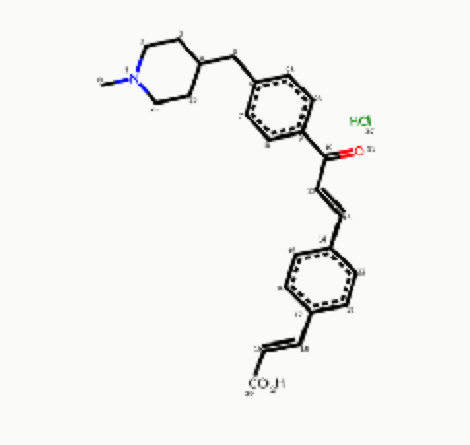 CN1CCC(Cc2ccc(C(=O)C=Cc3ccc(C=CC(=O)O)cc3)cc2)CC1.Cl